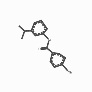 CC(C)c1cccc(NC(=O)c2ccc(O)cc2)c1